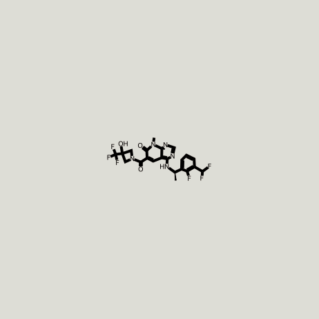 C[C@@H](Nc1ncnc2c1cc(C(=O)N1CC(O)(C(F)(F)F)C1)c(=O)n2C)c1cccc(C(F)F)c1F